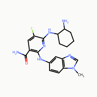 Cn1cnc2cc(Nc3nc(NC4CCCCC4N)c(F)cc3C(N)=O)ccc21